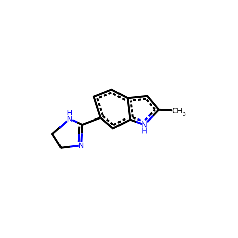 Cc1cc2ccc(C3=NCCN3)cc2[nH]1